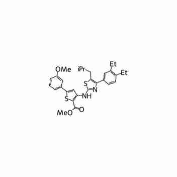 CCc1ccc(-c2nc(Nc3cc(-c4cccc(OC)c4)sc3C(=O)OC)sc2CC(C)C)cc1CC